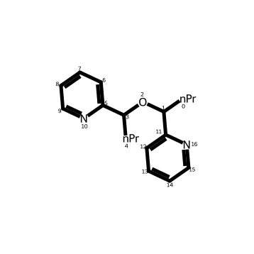 CCCC(OC(CCC)c1ccccn1)c1ccccn1